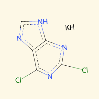 Clc1nc(Cl)c2nc[nH]c2n1.[KH]